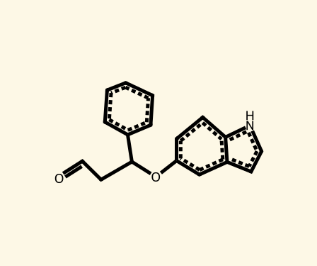 O=CCC(Oc1ccc2[nH]ccc2c1)c1ccccc1